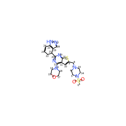 CS(=O)(=O)N1CCN(Cc2cc3c(N4CCOCC4)nc(C4CC=Cc5[nH]ncc54)nc3s2)CC1